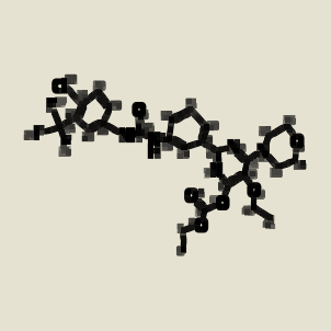 CCOC(=O)Oc1nc(-c2cccc(NC(=O)Nc3ccc(Cl)c(C(F)(F)F)c3)c2)nc(N2CCOCC2)c1OCC